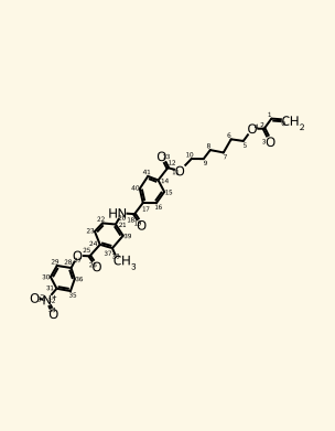 C=CC(=O)OCCCCCCOC(=O)c1ccc(C(=O)Nc2ccc(C(=O)Oc3ccc([N+](=O)[O-])cc3)c(C)c2)cc1